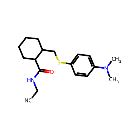 CN(C)c1ccc(SCC2CCCCC2C(=O)NCC#N)cc1